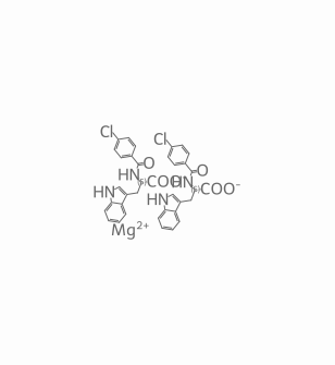 O=C(N[C@@H](Cc1c[nH]c2ccccc12)C(=O)[O-])c1ccc(Cl)cc1.O=C(N[C@@H](Cc1c[nH]c2ccccc12)C(=O)[O-])c1ccc(Cl)cc1.[Mg+2]